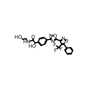 O=C(NCCO)C(O)c1ccc(-c2noc(-c3noc(-c4ccccc4)c3C(F)(F)F)n2)cc1